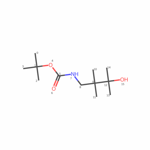 CC(C)(C)OC(=O)NCC(C)(C)C(C)(C)O